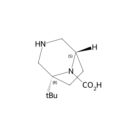 CC(C)(C)[C@]12CC[C@@H](CNC1)N2C(=O)O